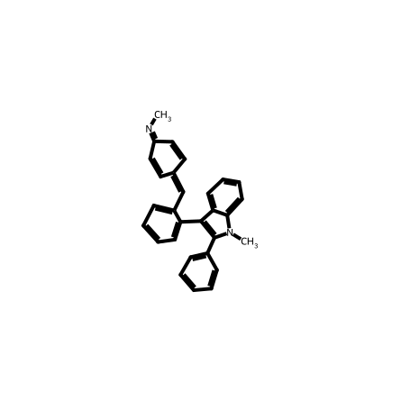 CN=C1C=CC(=Cc2ccccc2-c2c(-c3ccccc3)n(C)c3ccccc23)C=C1